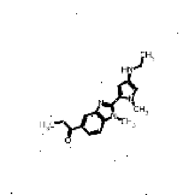 CCNc1cc(-c2nc3cc(C(=O)CC)ccc3n2C)n(C)c1